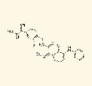 CCO[C@@H](C(=O)NCc1ccc(C(=N)NO)cc1F)n1cccc(Nc2ccccc2)c1=O